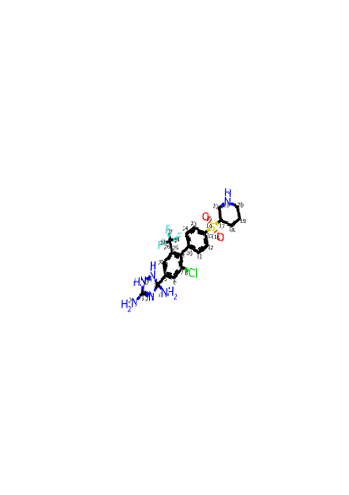 NC1=NC(N)(c2cc(Cl)c(-c3ccc(S(=O)(=O)C4CCCNC4)cc3)c(C(F)(F)F)c2)NN1